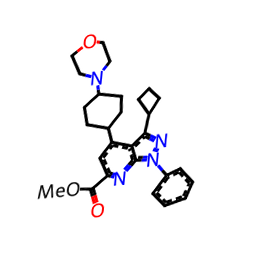 COC(=O)c1cc(C2CCC(N3CCOCC3)CC2)c2c(C3CCC3)nn(-c3ccccc3)c2n1